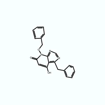 O=c1cc(O)c2c(Cc3ccccc3)ncnc2n1OCc1ccccc1